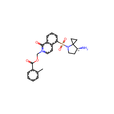 Cc1ccccc1C(=O)OCn1ccc2c(S(=O)(=O)N3CC[C@H](N)C34CC4)cccc2c1=O